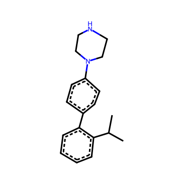 CC(C)c1ccccc1-c1ccc(N2CCNCC2)cc1